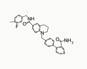 Cc1ccc([C@H](C)NC(=O)c2ccc3c(c2)CCCN3Cc2ccc(-c3ccccc3C(N)=O)cc2)cc1F